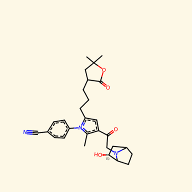 Cc1c(C(=O)CN2C3CCC2[C@@H](O)C3)cc(CCCC2CC(C)(C)OC2=O)n1-c1ccc(C#N)cc1